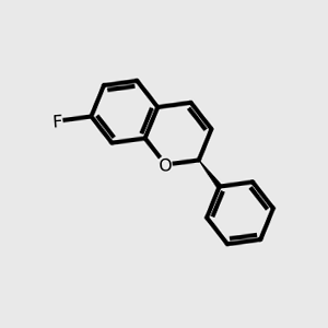 Fc1ccc2c(c1)O[C@H](c1ccccc1)C=C2